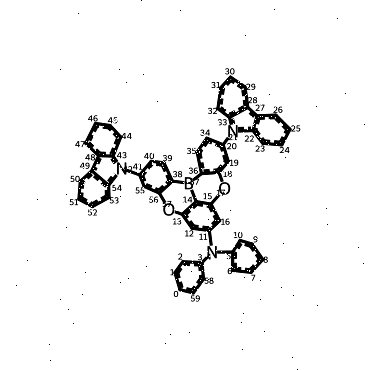 c1ccc(N(c2ccccc2)c2cc3c4c(c2)Oc2cc(-n5c6ccccc6c6ccccc65)ccc2B4c2ccc(-n4c5ccccc5c5ccccc54)cc2O3)cc1